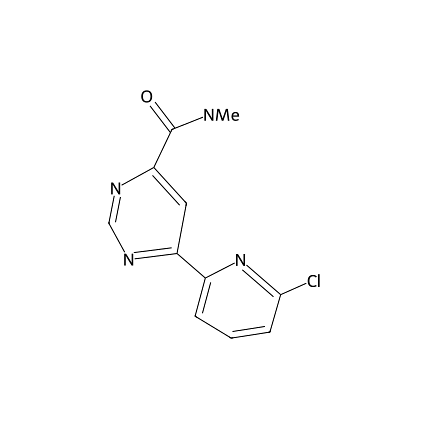 CNC(=O)c1cc(-c2cccc(Cl)n2)ncn1